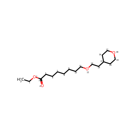 CCOC(=O)CCCCCCCOCCC1CCOCC1